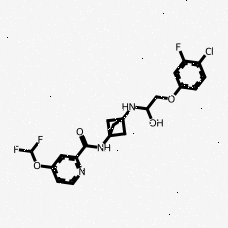 O=C(NC12CC(NC(O)COc3ccc(Cl)c(F)c3)(C1)C2)c1cc(OC(F)F)ccn1